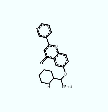 CCCCCC(Oc1ccc2oc(-c3cccnc3)cc(=O)c2c1)C1CCCCN1